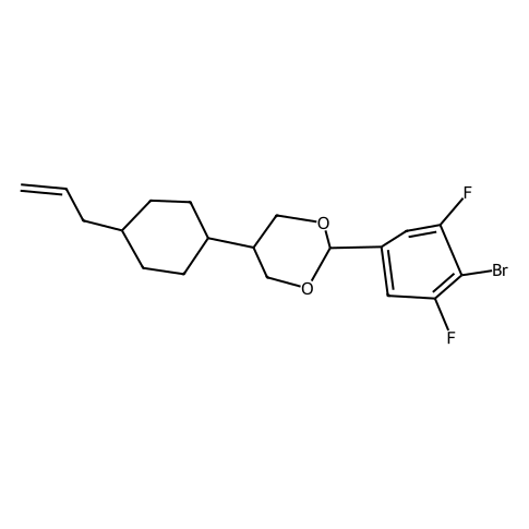 C=CCC1CCC(C2COC(c3cc(F)c(Br)c(F)c3)OC2)CC1